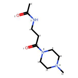 CC(=O)NCCC(=O)N1CCN(C)CC1